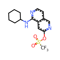 O=S(=O)(Oc1cc2c(NC3CCCCC3)nccc2cn1)C(F)(F)F